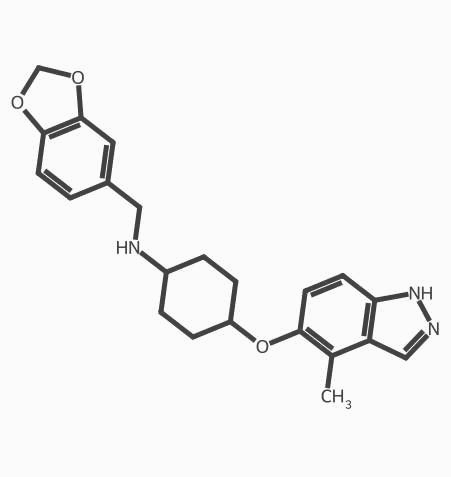 Cc1c(OC2CCC(NCc3ccc4c(c3)OCO4)CC2)ccc2[nH]ncc12